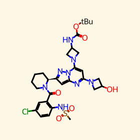 CC(C)(C)OC(=O)NC1CN(c2cc(N3CC(O)C3)nc3cc([C@@H]4CCCCN4C(=O)c4cc(Cl)ccc4NS(C)(=O)=O)nn23)C1